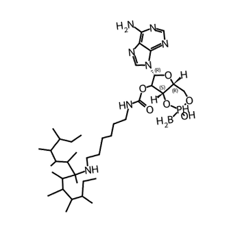 B[PH]1(O)OC[C@H]2O[C@@H](n3cnc4c(N)ncnc43)C(OC(=O)NCCCCCCNC(C)(C(C)C(C)C(C)C(C)CC)C(C)C(C)C(C)C(C)CC)[C@H]2O1